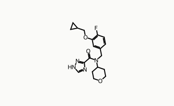 O=C(c1nc[nH]n1)N(Cc1ccc(F)c(OCC2CC2)c1)C1CCOCC1